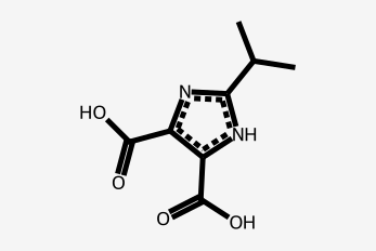 CC(C)c1nc(C(=O)O)c(C(=O)O)[nH]1